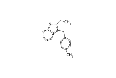 CCc1nc2ccccc2n1Cc1ccc(C)cc1